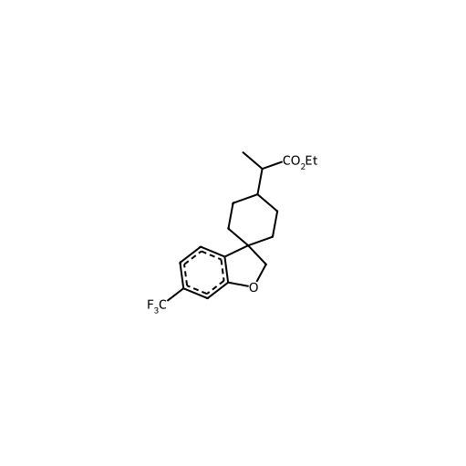 CCOC(=O)C(C)C1CCC2(CC1)COc1cc(C(F)(F)F)ccc12